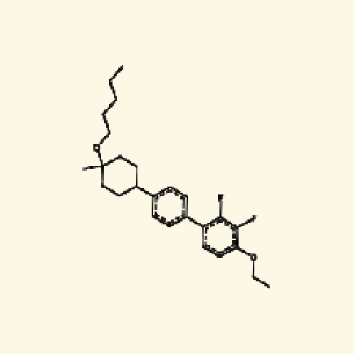 CCCCCOC1(C)CCC(c2ccc(-c3ccc(OCC)c(F)c3F)cc2)CC1